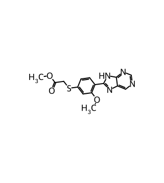 COC(=O)CSc1ccc(-c2nc3cncnc3[nH]2)c(OC)c1